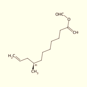 [CH]=C(CCCCCC[C@@H](C)CC=C)OC=O